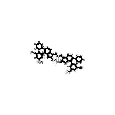 CC(C)C1=Cc2c(ccc(-c3ccccc3)c2-c2cc(C(C)C)cc(C(C)C)c2)C1C[SiH2]CC1C(C(C)C)=Cc2c1ccc(-c1ccccc1)c2-c1cc(C(C)C)cc(C(C)C)c1